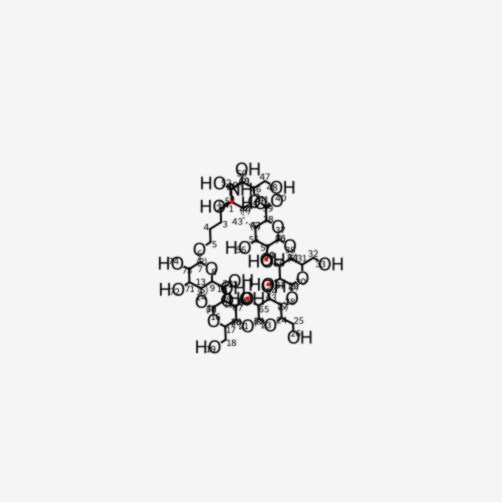 NCCCCCO[C@@H]1OC(C(=O)O)[C@@H](O[C@H]2OC(CO)[C@H](O[C@H]3OC(CO)[C@@H](O[C@@H]4OC(CO)[C@@H](O[C@@H]5OC(C(=O)O)[C@@H](C[C@H]6OC(CO)[C@H](O)C(O)C6O)C(O)C5O)C(O)C4O)C(O)C3O)C(O)C2O)C(O)C1O